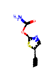 C#Cc1cnc(OC(N)=O)s1